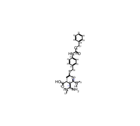 C=C(/N=C(\C(CC(=O)O)=C(/N)N(C)C)N(C)C)SCc1ccc(NC(=O)OCc2ccccc2)cc1